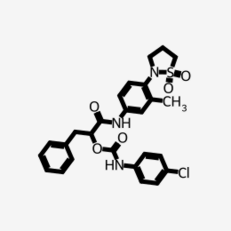 Cc1cc(NC(=O)C(Cc2ccccc2)OC(=O)Nc2ccc(Cl)cc2)ccc1N1CCCS1(=O)=O